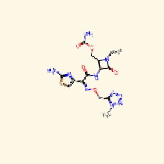 Cn1nnnc1CO/N=C(\C(=O)NC1C(=O)N(S(=O)(=O)O)C1COC(N)=O)c1csc(N)n1